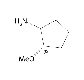 CO[C@H]1CCCC1N